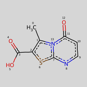 Cc1c(C(=O)O)sc2nccc(=O)n12